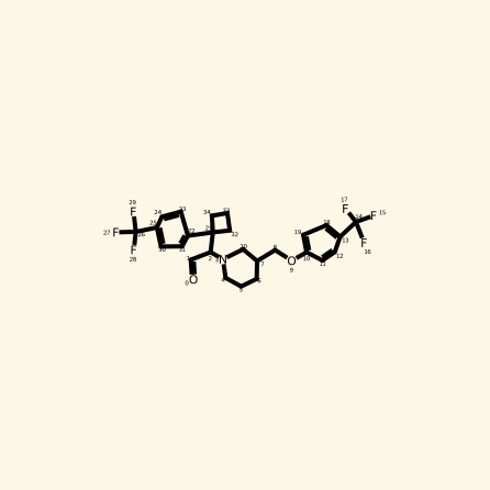 O=CC(N1CCCC(COc2ccc(C(F)(F)F)cc2)C1)C1(c2ccc(C(F)(F)F)cc2)CCC1